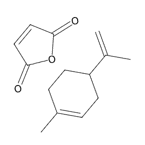 C=C(C)C1CC=C(C)CC1.O=C1C=CC(=O)O1